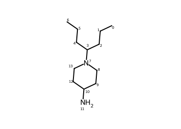 CCCC(CCC)N1CCC(N)CC1